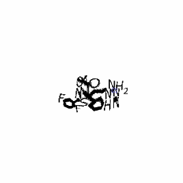 CO[C@@H](C)C(=O)N1N=C(c2cc(F)ccc2F)SC1(CCCN/C(N)=N\C#N)c1ccccc1